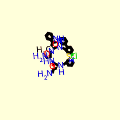 CN1C(=O)[C@H](CN)NC(=O)[C@H](CCCN)NCc2cccnc2Sc2c(Cl)ccc(-c3cccnc3)c2CNC(=O)[C@@H]1Cc1c[nH]c2ccccc12